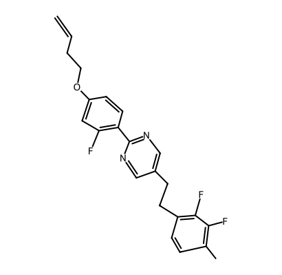 C=CCCOc1ccc(-c2ncc(CCc3ccc(C)c(F)c3F)cn2)c(F)c1